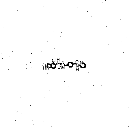 Cn1nc(-c2ccc(C(=O)Nc3ccccn3)cc2)nc1Nc1ccc2[nH]ncc2c1Cl